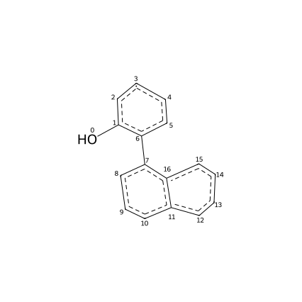 Oc1c[c]ccc1-c1cccc2ccccc12